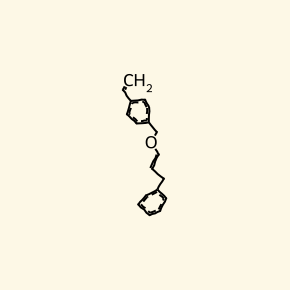 C=Cc1ccc(COC=CCc2ccccc2)cc1